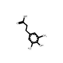 Cc1cc(CCC([NH])=O)cc(C)c1O